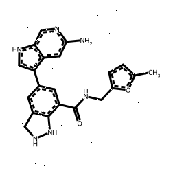 Cc1ccc(CNC(=O)c2cc(-c3c[nH]c4cnc(N)cc34)cc3c2NNC3)o1